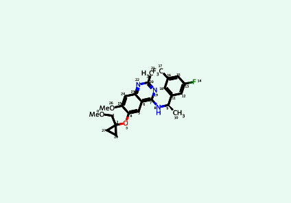 COCC1(Oc2cc3c(N[C@H](C)c4cc(F)cc(C(F)(F)F)c4)nc(C)nc3cc2OC)CC1